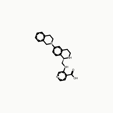 O=C(O)c1ccncc1NC[C@@H]1NCCc2cc(N3CCc4ccccc4C3)ccc21